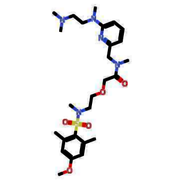 COc1cc(C)c(S(=O)(=O)N(C)CCOCC(=O)N(C)Cc2cccc(N(C)CCN(C)C)n2)c(C)c1